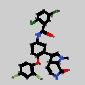 Cn1cc(-c2cc(NC(=O)c3cc(Cl)ccc3Cl)ccc2Oc2ccc(F)cc2F)c2cc[nH]c(=O)c21